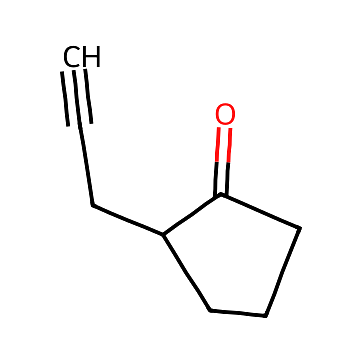 C#CCC1CCCC1=O